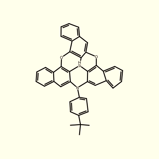 CC(C)(C)c1ccc(N2c3cc4ccccc4c4c3[SiH]3c5c(cc6ccccc6c5Oc5c3c2cc2ccccc52)O4)cc1